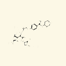 C[C@@H]1[C@H](NC(=O)C(=NOC(COc2ccc(C(=N)NC3CCNCC3)cc2)C(=O)O)c2nc(N)sc2C(F)(F)F)C(=O)N1S(=O)(=O)O